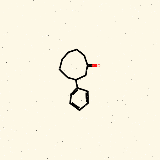 O=C1CCCCCCC(c2ccccc2)C1